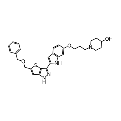 OC1CCN(CCCOc2ccc3cc(-c4n[nH]c5cc(COCc6ccccc6)sc45)[nH]c3c2)CC1